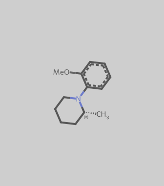 COc1ccccc1N1CCCC[C@H]1C